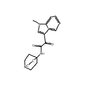 Cn1cc(C(=O)C(=O)NC23CCN(CC2)CC3)c2ccccc21